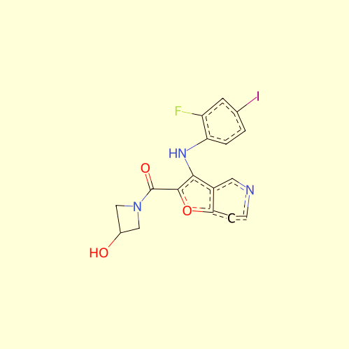 O=C(c1oc2ccncc2c1Nc1ccc(I)cc1F)N1CC(O)C1